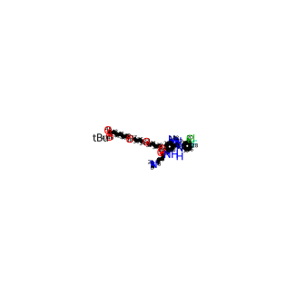 CN(C)CCCC(=O)Nc1cc2c(Nc3ccc(F)c(Cl)c3)ncnc2cc1OCCCCOCCCCOCCCCCC(=O)OC(C)(C)C